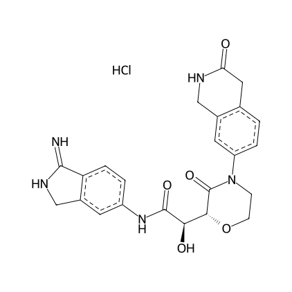 Cl.N=C1NCc2cc(NC(=O)[C@H](O)[C@H]3OCCN(c4ccc5c(c4)CNC(=O)C5)C3=O)ccc21